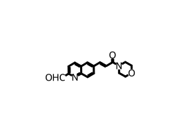 O=Cc1ccc2cc(/C=C/C(=O)N3CCOCC3)ccc2n1